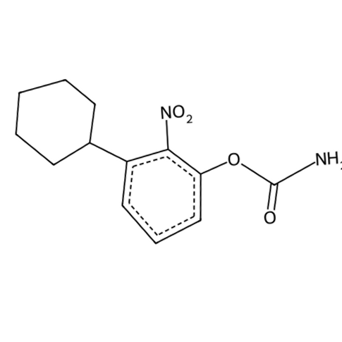 NC(=O)Oc1cccc(C2CCCCC2)c1[N+](=O)[O-]